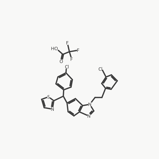 Clc1ccc(C(c2ccc3ncn(CCc4cccc(Cl)c4)c3c2)c2nccs2)cc1.O=C(O)C(F)(F)F